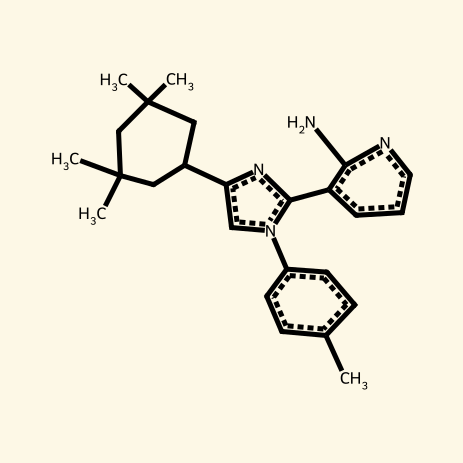 Cc1ccc(-n2cc(C3CC(C)(C)CC(C)(C)C3)nc2-c2cccnc2N)cc1